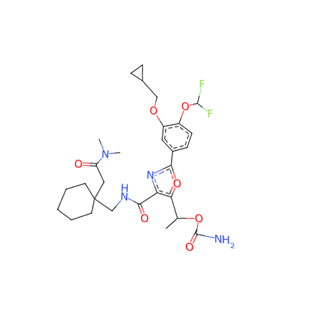 CC(OC(N)=O)c1oc(-c2ccc(OC(F)F)c(OCC3CC3)c2)nc1C(=O)NCC1(CC(=O)N(C)C)CCCCC1